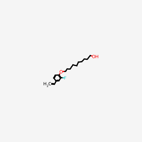 C=Cc1ccc(OCCCCCCCCCCO)c(F)c1